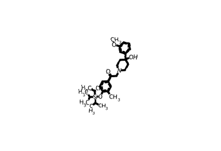 COc1cccc(C2(O)CCN(CC(=O)c3ccc(O[Si](C(C)C)(C(C)C)C(C)C)c(C)c3)CC2)c1